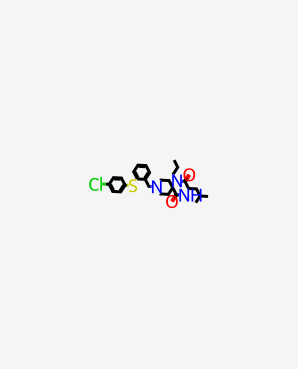 CCCN1C(=O)C(CC(C)C)NC(=O)C12CCN(Cc1ccccc1Sc1ccc(Cl)cc1)CC2